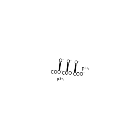 O=C([O-])[O-].O=C([O-])[O-].O=C([O-])[O-].[P+3].[P+3]